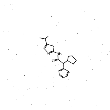 CC(C)c1cnc(NC(=O)C(c2ccccc2)C2CCCC2)s1